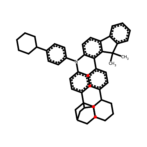 CC1(C)c2ccccc2-c2ccc(N(c3ccc(C4CCCCC4)cc3)c3ccc(C4CC5CCC4CC5)cc3)c(-c3ccc(C4CCCCC4)cc3)c21